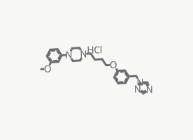 COc1cccc(N2CCN(CCCCOc3cccc(Cn4cncn4)c3)CC2)c1.Cl